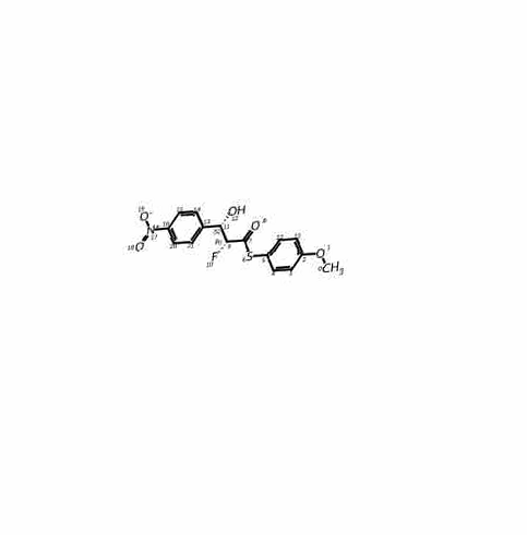 COc1ccc(SC(=O)[C@H](F)[C@@H](O)c2ccc([N+](=O)[O-])cc2)cc1